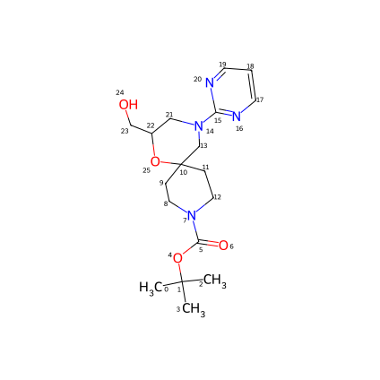 CC(C)(C)OC(=O)N1CCC2(CC1)CN(c1ncccn1)CC(CO)O2